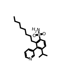 CCCCCCCCc1c(S(N)(=O)=O)ccc(C(C)C)c1-c1cccnc1